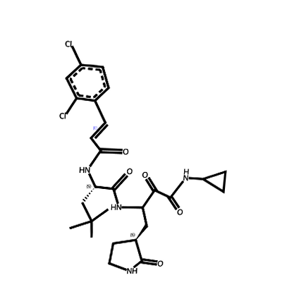 CC(C)(C)C[C@H](NC(=O)/C=C/c1ccc(Cl)cc1Cl)C(=O)NC(C[C@@H]1CCNC1=O)C(=O)C(=O)NC1CC1